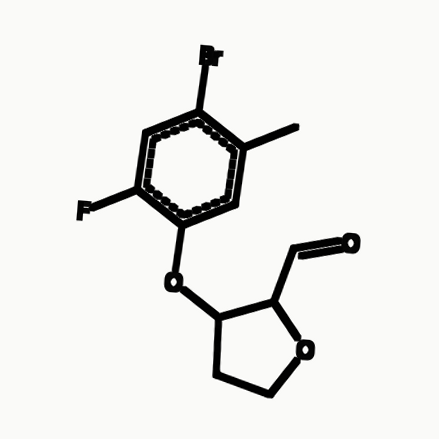 Cc1cc(OC2CCOC2C=O)c(F)cc1Br